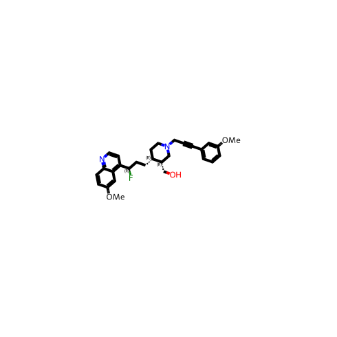 COc1cccc(C#CCN2CC[C@@H](CC[C@@H](F)c3ccnc4ccc(OC)cc34)[C@@H](CO)C2)c1